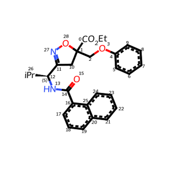 CCOC(=O)C1(COc2ccccc2)CC([C@@H](NC(=O)c2cccc3ccccc23)C(C)C)=NO1